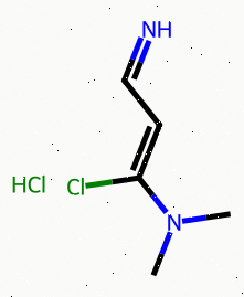 CN(C)C(Cl)=CC=N.Cl